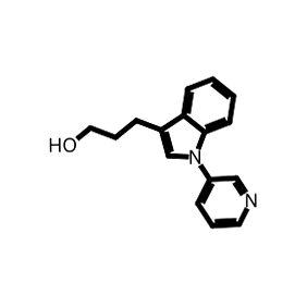 OCCCc1cn(-c2cccnc2)c2ccccc12